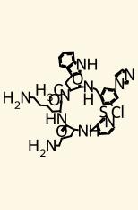 CN1C(=O)C(CCCCN)NC(=O)C(CCCN)NCc2cccnc2Sc2c(Cl)cc(-n3ccnc3)cc2CNC(=O)C1Cc1c[nH]c2ccccc12